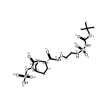 CC(C)(C)OC(=O)NS(=O)(=O)NCCONC(=O)[C@@H]1CCC2CN1C(=O)N2OS(=O)(=O)O